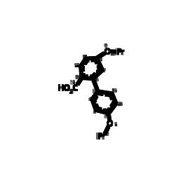 CC(C)Oc1ccc(-c2cc(OC(C)C)ccc2C(=O)O)cc1